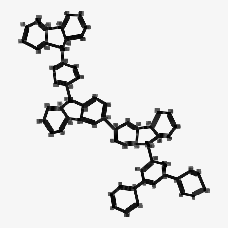 c1ccc(-c2cc(-c3ccccc3)nc(-n3c4ccccc4c4cc(-c5ccc6c(c5)c5ccccc5n6-c5ccc(-n6c7ccccc7c7ncccc76)cc5)ccc43)c2)cc1